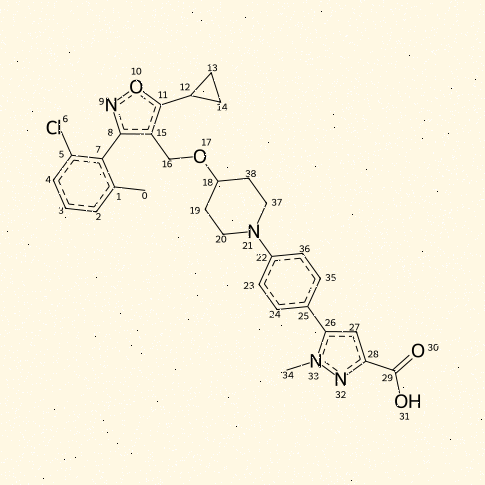 Cc1cccc(Cl)c1-c1noc(C2CC2)c1COC1CCN(c2ccc(-c3cc(C(=O)O)nn3C)cc2)CC1